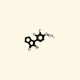 COc1ccc(C2=C(Br)C(=O)C3CCCC23)c(F)c1F